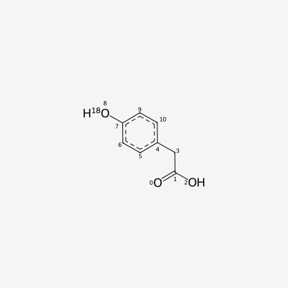 O=C(O)Cc1ccc([18OH])cc1